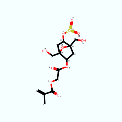 C=C(C)C(=O)OCC(=O)OC1CC2(CO)OC1(CO)CC2O[SH](=O)=O